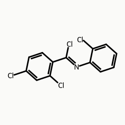 ClC(=Nc1ccccc1Cl)c1ccc(Cl)cc1Cl